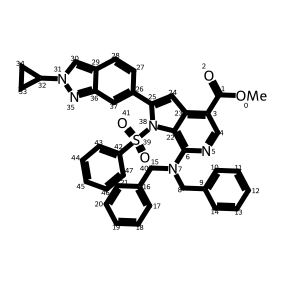 COC(=O)c1cnc(N(Cc2ccccc2)Cc2ccccc2)c2c1cc(-c1ccc3cn(C4CC4)nc3c1)n2S(=O)(=O)c1ccccc1